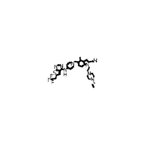 C=CSN1CCN(CCn2c(C#N)cc3c(C)c(CN4CCC(Nc5ncnc6sc(CC(F)(F)F)cc56)CC4)ccc32)CC1